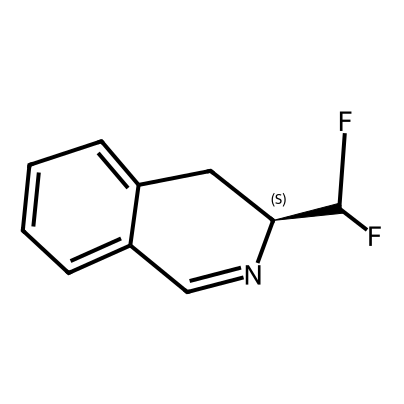 FC(F)[C@@H]1Cc2ccccc2C=N1